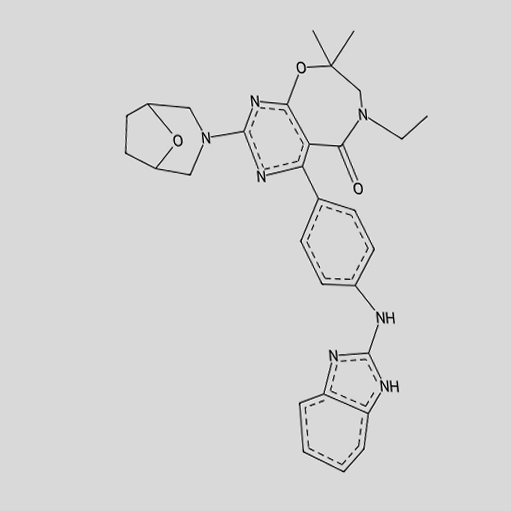 CCN1CC(C)(C)Oc2nc(N3CC4CCC(C3)O4)nc(-c3ccc(Nc4nc5ccccc5[nH]4)cc3)c2C1=O